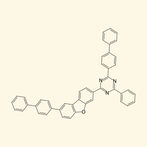 c1ccc(-c2ccc(-c3ccc4oc5cc(-c6nc(-c7ccccc7)nc(-c7ccc(-c8ccccc8)cc7)n6)ccc5c4c3)cc2)cc1